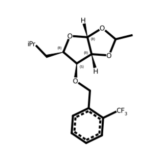 CC(C)C[C@H]1O[C@@H]2OC(C)O[C@@H]2[C@H]1OCc1ccccc1C(F)(F)F